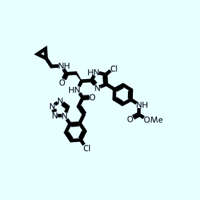 COC(=O)Nc1ccc(-c2nc([C@H](CC(=O)NCC3CC3)NC(=O)C=Cc3cc(Cl)ccc3-n3cnnn3)[nH]c2Cl)cc1